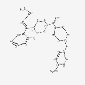 CON=C(c1cccc[n+]1[O-])C1CCN(C(=O)C2CCN(Cc3cnc(N)nc3)CC2)CC1